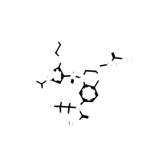 CC(=O)NC[C@H]1CN(S(=O)(=O)c2cn(C(F)F)nc2OCCO)c2cc(N(C(=O)O)C(C)(C)C(F)(F)F)ccc2O1